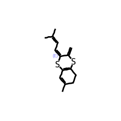 C=C1SC2=C(C=C(C)CC2)S/C1=C/C=C(C)C